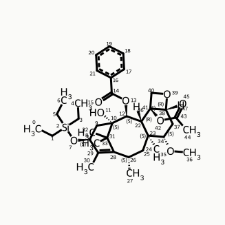 CC[Si](CC)(CC)O[C@H]1C[C@@]2(O)[C@@H](OC(=O)c3ccccc3)[C@H]3[C@](C)(C[C@H](C)C(=C1C)C2(C)C)[C@@H](OC)C[C@H]1OC[C@]13OC(C)=O